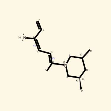 C=C/C(N)=C\C=C(/C)N1CC(C)C[C@@H](C)C1